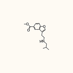 COC(=O)c1ccc2occ(CCNCC(C)C)c2c1